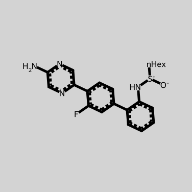 CCCCCC[S+]([O-])Nc1ccccc1-c1ccc(-c2cnc(N)cn2)c(F)c1